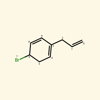 C=CCC1=CCC(Br)C=C1